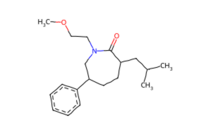 COCCN1CC(c2ccccc2)CCC(C[C](C)C)C1=O